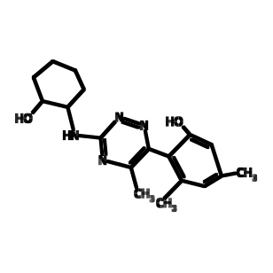 Cc1cc(C)c(-c2nnc(NC3CCCCC3O)nc2C)c(O)c1